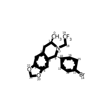 C[C@@H]1Cc2cc3c(cc2[C@@H](c2ccc(Br)cc2)N1CC(F)(F)F)OCO3